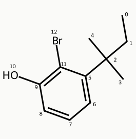 CCC(C)(C)c1cccc(O)c1Br